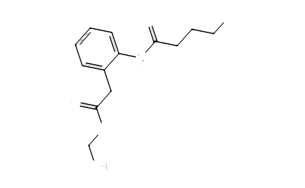 CCOC(=O)Cc1ccccc1NC(=O)CCCCl